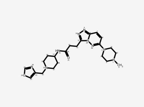 CN1CCN(c2ccc3nnc(CCC(=O)NC4CCN(Cc5cocn5)CC4)n3n2)CC1